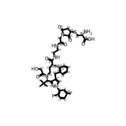 CC(C)(C)[C@H](c1nn(-c2cc(F)ccc2F)cc1Cc1ccccc1)N(CC[C@H](N)C(=O)NCCNC(=O)CN1C(=O)CC(SC[C@H](N)C(=O)O)C1=O)C(=O)CO